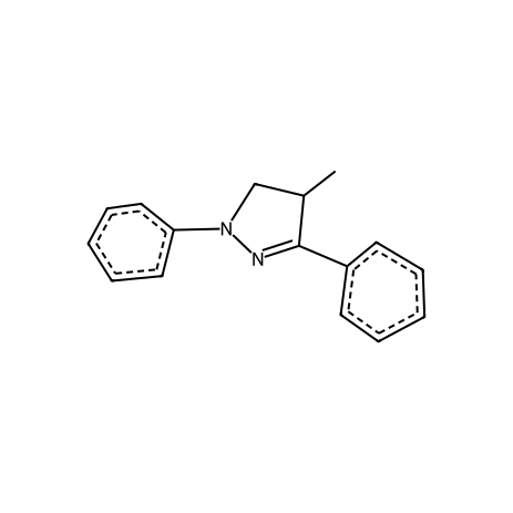 CC1CN(c2ccccc2)N=C1c1ccccc1